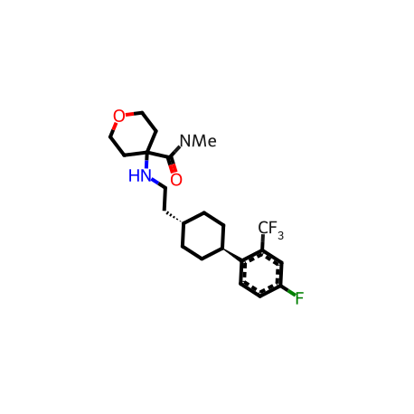 CNC(=O)C1(NCC[C@H]2CC[C@H](c3ccc(F)cc3C(F)(F)F)CC2)CCOCC1